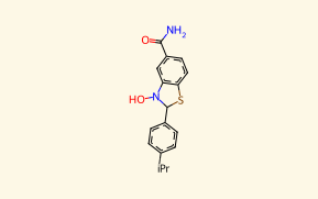 CC(C)c1ccc(C2Sc3ccc(C(N)=O)cc3N2O)cc1